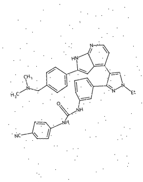 CCn1cc(-c2ccnc3[nH]c(-c4ccc(CN(C)C)cc4)cc23)c(-c2cccc(NC(=O)Nc3ccc(C#N)cc3)c2)n1